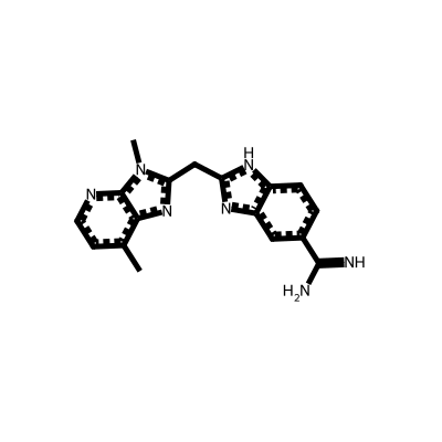 Cc1ccnc2c1nc(Cc1nc3cc(C(=N)N)ccc3[nH]1)n2C